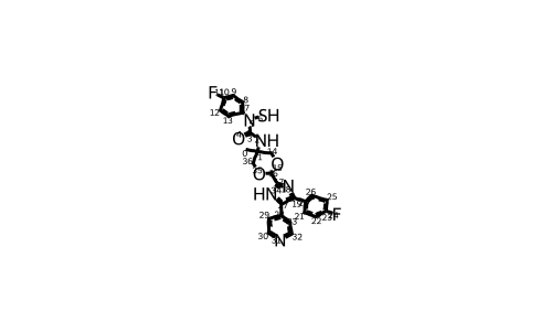 CC1(NC(=O)N(S)c2ccc(F)cc2)COC(c2nc(-c3ccc(F)cc3)c(-c3ccncc3)[nH]2)OC1